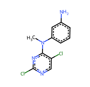 CN(c1cccc(N)c1)c1nc(Cl)ncc1Cl